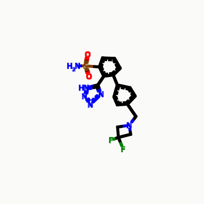 NS(=O)(=O)c1cccc(-c2ccc(CN3CC(F)(F)C3)cc2)c1-c1nnn[nH]1